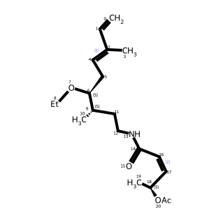 C=C/C(C)=C/C[C@H](OCC)[C@@H](C)CCNC(=O)/C=C\[C@H](C)OC(C)=O